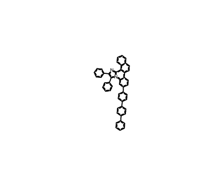 c1ccc(-c2ccc(-c3ccc(-c4ccc5c6ccc7ccccc7c6c6nc(-c7ccccc7)c(-c7ccccc7)n6c5c4)cc3)cc2)cc1